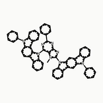 Cn1c(-n2c3ccccc3c3cc4c(cc32)c2ccccc2n4-c2ccccc2)nc2nc(-c3ccccc3)nc(-n3c4ccccc4c4ccc5c(c6ccccc6n5-c5ccccc5)c43)c21